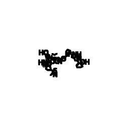 Cc1ncsc1-c1ccc([C@H](C)NC(=O)[C@@H]2C[C@@H](O)CN2C(=O)[C@@H](c2cc(OCCN3CCC[C@@H]3c3cc4cc(-c5ccccc5O)nnc4[nH]3)no2)C(C)C)cc1